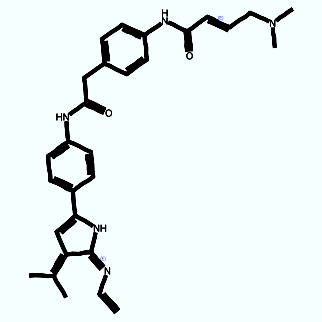 C=C/N=C1/NC(c2ccc(NC(=O)Cc3ccc(NC(=O)/C=C/CN(C)C)cc3)cc2)=CC1=C(C)C